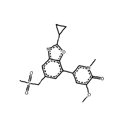 COc1cc(-c2cc(CS(C)(=O)=O)cc3nc(C4CC4)oc23)cn(C)c1=O